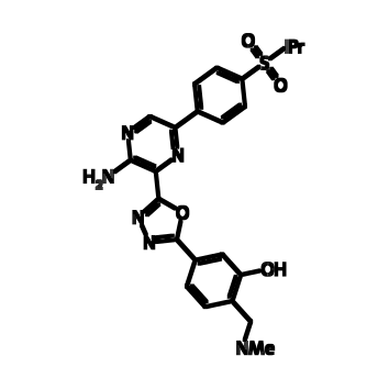 CNCc1ccc(-c2nnc(-c3nc(-c4ccc(S(=O)(=O)C(C)C)cc4)cnc3N)o2)cc1O